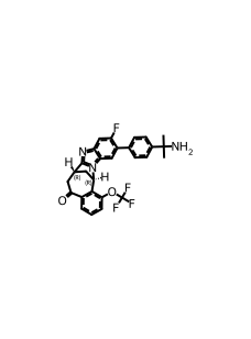 CC(C)(N)c1ccc(-c2cc3c(cc2F)nc2n3[C@@H]3C[C@@H]2CC(=O)c2cccc(OC(F)(F)F)c23)cc1